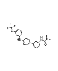 CNC(=O)Nc1cccc(-c2ccc(Nc3cccc(OC(F)(F)F)c3)nc2)c1